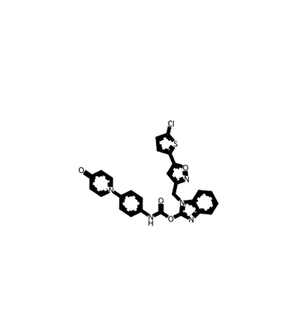 O=C(Nc1ccc(-n2ccc(=O)cc2)cc1)Oc1nc2ccccc2n1Cc1cc(-c2ccc(Cl)s2)on1